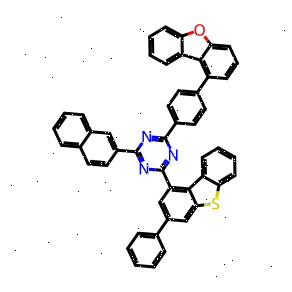 c1ccc(-c2cc(-c3nc(-c4ccc(-c5cccc6oc7ccccc7c56)cc4)nc(-c4ccc5ccccc5c4)n3)c3c(c2)sc2ccccc23)cc1